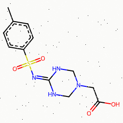 Cc1ccc(S(=O)(=O)N=C2NCN(CC(=O)O)CN2)cc1